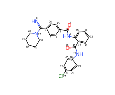 N=C(c1ccc(C(=O)Nc2ccccc2C(=O)Nc2ccc(Cl)cc2)cc1)N1CCCCC1